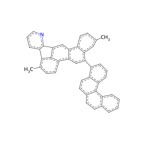 Cc1ccc2c(c1)c(-c1cccc3c1ccc1ccc4ccccc4c13)cc1c3ccc(C)c4c3c(cc21)-c1ncccc1-4